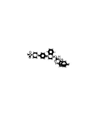 CS(=O)(=O)N1CCN(c2ccc(N3CCN(OC(=O)NC4[C@@H]5CC6C[C@H]4CC(F)(C6)C5)c4ccccc43)cc2)CC1